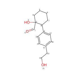 O=CC1(O)CCCCC1c1ccc(CCO)cc1